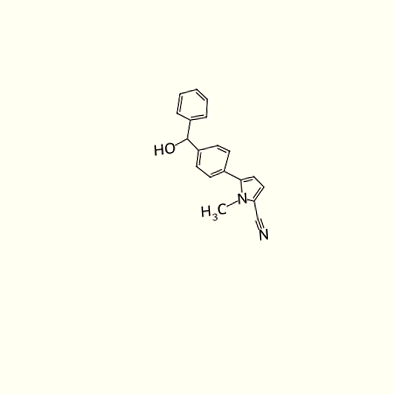 Cn1c(C#N)ccc1-c1ccc(C(O)c2ccccc2)cc1